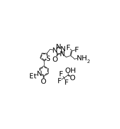 CCn1cc(-c2ccc(Cn3nnn(CC(CN)=C(F)F)c3=O)s2)ccc1=O.O=C(O)C(F)(F)F